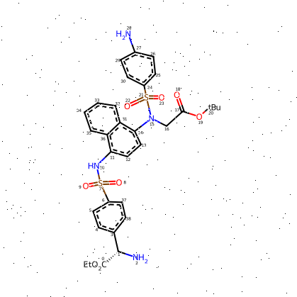 CCOC(=O)[C@@H](N)c1ccc(S(=O)(=O)Nc2ccc(N(CC(=O)OC(C)(C)C)S(=O)(=O)c3ccc(N)cc3)c3ccccc23)cc1